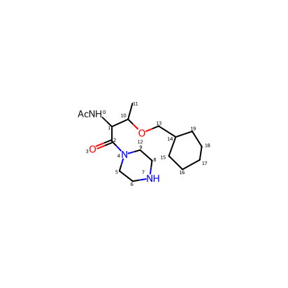 CC(=O)NC(C(=O)N1CCNCC1)C(C)OCC1CCCCC1